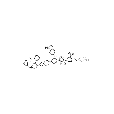 CC(C)c1ccccc1C1CN(Cc2ccoc2)CCN1C1CC2(CCN(c3ccc(C(=O)NS(=O)(=O)c4ccc(NC[C@H]5CC[C@](C)(O)CC5)c([N+](=O)[O-])c4)c(Oc4cnc5[nH]ccc5c4)c3)CC2)C1